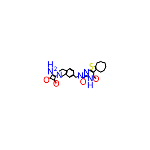 Nc1c(N2CCc3ccc(CNC(=O)c4nc5sc6c(c5c(=O)[nH]4)CCCCCC6)cc3C2)c(=O)c1=O